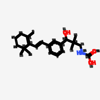 CC1=C(/C=C/c2cccc(C(O)C(C)(C)CNC(=O)O)c2)C(C)(C)CCC1